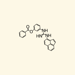 N=C(Nc1cccc(OC(=O)c2ccccc2)c1)Nc1ccc2cccc3c2c1C=C3